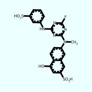 CN(c1ccc2c(O)cc(S(=O)(=O)O)cc2c1)c1nc(F)nc(Nc2cccc(S(=O)(=O)O)c2)n1